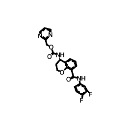 O=C(N[C@H]1CCOc2c(C(=O)Nc3ccc(F)c(F)c3)cccc21)OCc1ncccn1